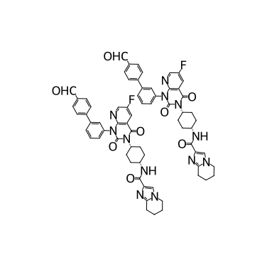 O=Cc1ccc(-c2cccc(-n3c(=O)n([C@H]4CC[C@@H](NC(=O)c5cn6c(n5)CCCC6)CC4)c(=O)c4cc(F)cnc43)c2)cc1.O=Cc1ccc(-c2cccc(-n3c(=O)n([C@H]4CC[C@@H](NC(=O)c5cn6c(n5)CCCC6)CC4)c(=O)c4cc(F)cnc43)c2)cc1